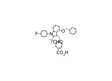 CC(C)(C=O)c1c(Cc2ccc(C(=O)O)cc2)c2c(OCc3ccccc3)cccc2n1-c1ccc(F)cc1